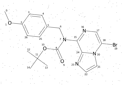 COc1ccc(CN(C(=O)OC(C)(C)C)c2ncc(Br)n3ccnc23)cc1